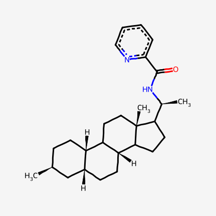 C[C@H]1CC[C@@H]2C3CC[C@@]4(C)C(CCC4[C@H](C)NC(=O)c4ccccn4)[C@@H]3CC[C@@H]2C1